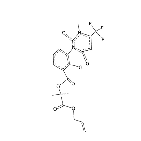 C=CCOC(=O)C(C)(C)OC(=O)c1cccc(-n2c(=O)cc(C(F)(F)F)n(C)c2=O)c1Cl